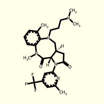 Cc1cc(C(F)(F)F)cc(N2C(=O)C[C@@H]3CN(CCCN(C)C)c4c(C)cccc4N(C)C(=O)[C@H]32)n1